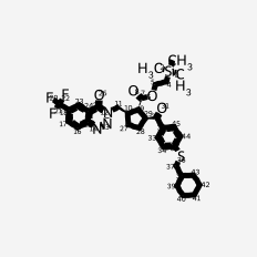 C[Si](C)(C)CCOC(=O)[C@H]1[C@H](Cn2nnc3ccc(C(F)(F)F)cc3c2=O)CC[C@@H]1C(=O)c1ccc(SCC2CCCCC2)cc1